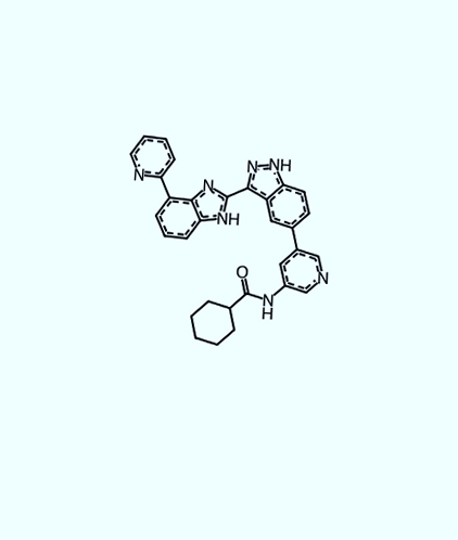 O=C(Nc1cncc(-c2ccc3[nH]nc(-c4nc5c(-c6ccccn6)cccc5[nH]4)c3c2)c1)C1CCCCC1